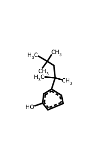 CC(C)(C)CC(C)(C)c1cccc(O)c1